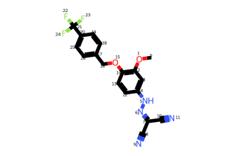 COc1cc(NN=C(C#N)C#N)ccc1OCc1ccc(C(F)(F)F)cc1